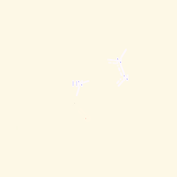 Cc1c(NC(=O)Cc2c(Cl)cccc2Cl)cnn1-c1ccccc1